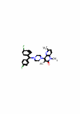 Cc1ccc2c(n1)c(N1CCN(C(c3ccc(F)cc3)c3ccc(F)cc3)CC1)c(C#N)c(=O)n2C